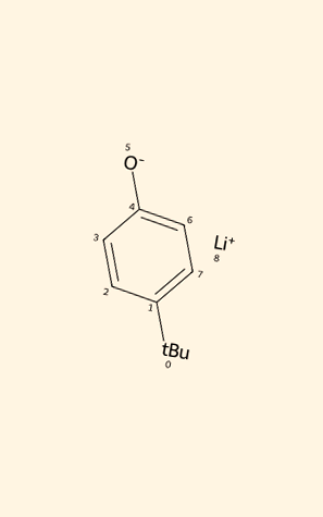 CC(C)(C)c1ccc([O-])cc1.[Li+]